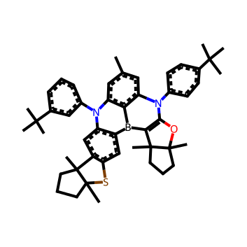 Cc1cc2c3c(c1)N(c1cccc(C(C)(C)C)c1)c1cc4c(cc1B3C1=C(OC3(C)CCCC13C)N2c1ccc(C(C)(C)C)cc1)SC1(C)CCCC41C